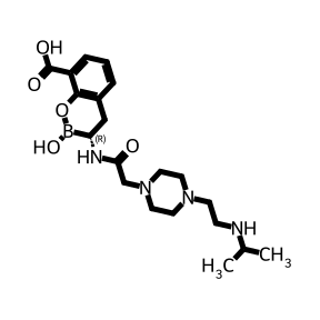 CC(C)NCCN1CCN(CC(=O)N[C@H]2Cc3cccc(C(=O)O)c3OB2O)CC1